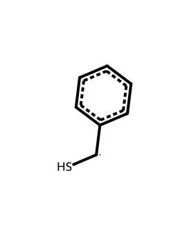 S[CH]c1ccccc1